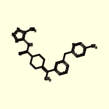 CC(=C1CCC(C(=O)Nc2nnnn2C)CC1)c1cccc(Cc2ccc(C(F)(F)F)cn2)c1